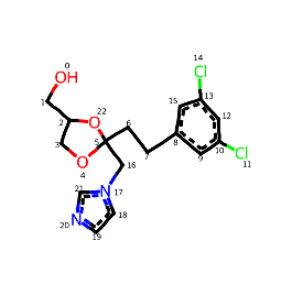 OCC1COC(CCc2cc(Cl)cc(Cl)c2)(Cn2ccnc2)O1